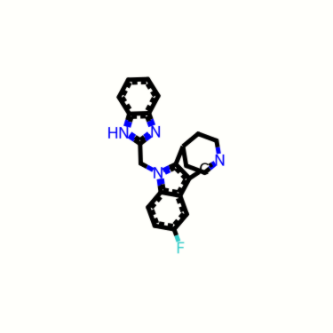 Fc1ccc2c(c1)c1c(n2Cc2nc3ccccc3[nH]2)C2CCN(CC2)C1